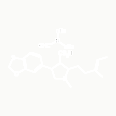 CC=C(C)CCC1C(C(=O)O)C(c2ccc3c(c2)OCO3)CN1C.CCCCN(C=O)CCCC